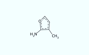 Cc1ccoc1N